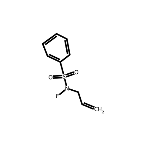 C=CCN(F)S(=O)(=O)c1ccccc1